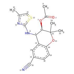 CC(=O)O[C@@H]1C(Nc2nc(C)cs2)c2cc(C#N)ccc2OC1(C)C